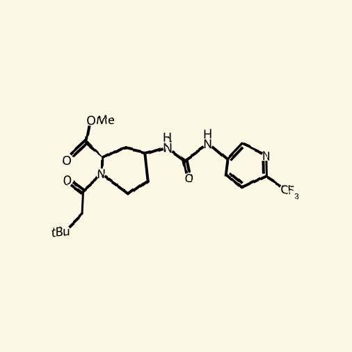 COC(=O)[C@H]1CC(NC(=O)Nc2ccc(C(F)(F)F)nc2)CCN1C(=O)CC(C)(C)C